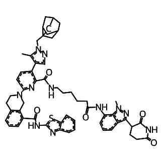 Cc1c(-c2ccc(N3CCc4cccc(C(=O)Nc5nc6ccccc6s5)c4C3)nc2C(=O)NCCCCCC(=O)Nc2cccc3c(C4CCC(=O)NC4=O)nn(C)c23)cnn1CC12CC3CC(CC1C3)C2